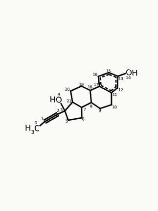 CC#CC1(O)CCC2C3CCc4cc(O)ccc4C3CCC21